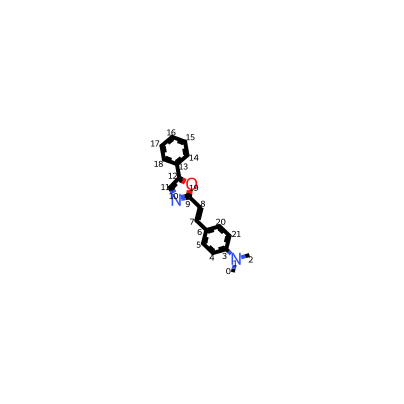 CN(C)c1ccc(C=Cc2ncc(-c3ccccc3)o2)cc1